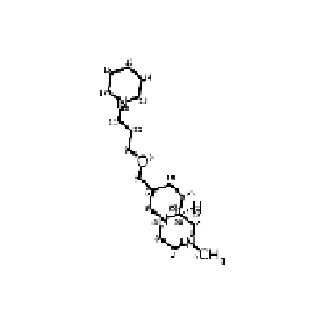 CN1CCN2CC(COCCCN3CCCCC3)CC[C@H]2C1